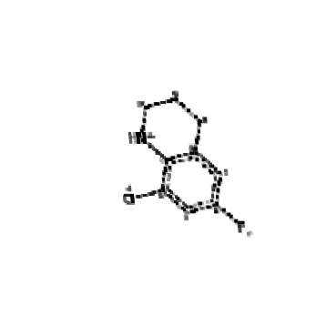 Fc1cc(Cl)c2c(c1)CCCN2